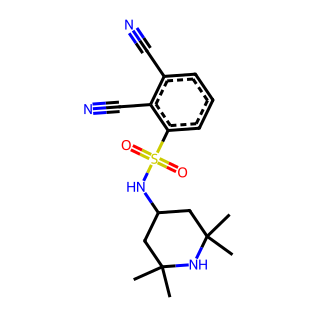 CC1(C)CC(NS(=O)(=O)c2cccc(C#N)c2C#N)CC(C)(C)N1